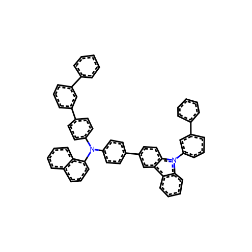 c1ccc(-c2cccc(-c3ccc(N(c4ccc(-c5ccc6c(c5)c5ccccc5n6-c5cccc(-c6ccccc6)c5)cc4)c4cccc5ccccc45)cc3)c2)cc1